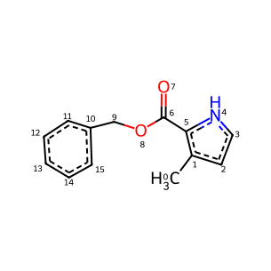 Cc1cc[nH]c1C(=O)OCc1ccccc1